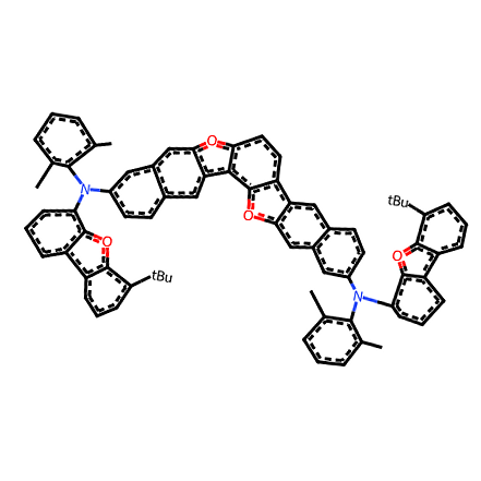 Cc1cccc(C)c1N(c1ccc2cc3c(cc2c1)oc1c3ccc2oc3cc4cc(N(c5c(C)cccc5C)c5cccc6c5oc5c(C(C)(C)C)cccc56)ccc4cc3c21)c1cccc2c1oc1c(C(C)(C)C)cccc12